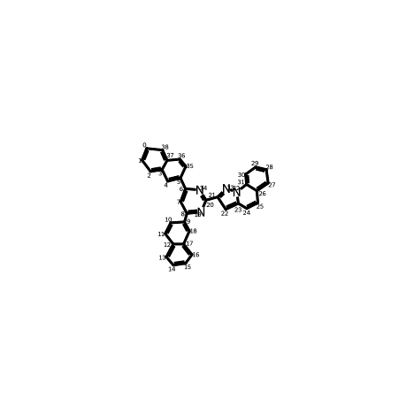 c1ccc2cc(-c3cc(-c4ccc5ccccc5c4)nc(-c4cc5ccc6ccccc6n5n4)n3)ccc2c1